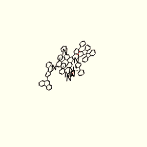 [C-]#[N+]c1cc2c(N(c3ccc(-c4ccccc4)cc3)c3ccc4c(c3)C3(c5ccccc5-c5ccccc53)c3ccccc3-4)c(-c3ccc(-c4ccccc4)cc3)c3cc(N4C=CC=CC4)c4oc5cc(N6C=c7cc(-c8cc9ccccc9c9ccccc89)ccc7=C7C=CC=CC76)ccc5c4c3c2c2oc3cccc(N4C=NC=NC4)c3c12